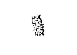 CC(S)C[SiH2]S[SiH2]CC(C)S